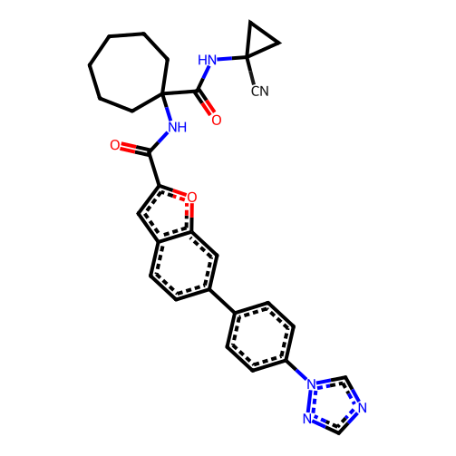 N#CC1(NC(=O)C2(NC(=O)c3cc4ccc(-c5ccc(-n6cncn6)cc5)cc4o3)CCCCCC2)CC1